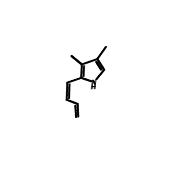 C=C/C=C\c1[nH]cc(C)c1C